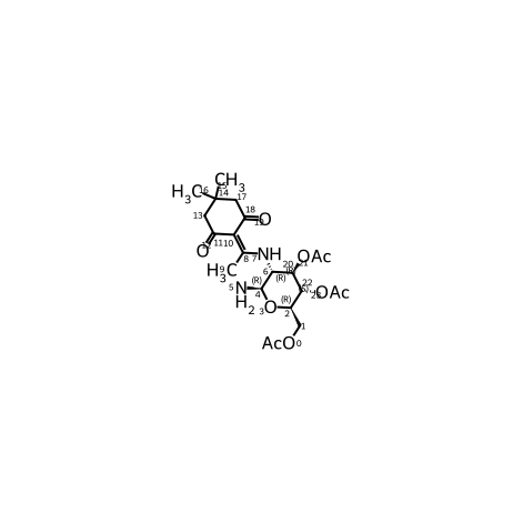 CC(=O)OC[C@H]1O[C@@H](N)[C@H](NC(C)=C2C(=O)CC(C)(C)CC2=O)[C@@H](OC(C)=O)[C@@H]1OC(C)=O